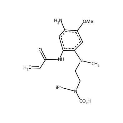 C=CC(=O)Nc1cc(N)c(OC)cc1N(C)CCN(C(=O)O)C(C)C